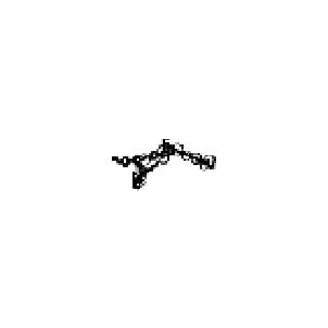 C=CC(=O)OCCOCCOCCOc1ccc(OC(=O)C2CCC(COc3ccc(C4CCC(CCC)CC4)cc3/C=N/N(CCCCCC)c3nc4ccccc4s3)CC2)c(F)c1